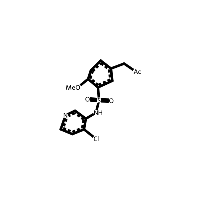 COc1ccc(CC(C)=O)cc1S(=O)(=O)Nc1cnccc1Cl